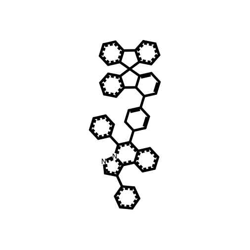 C1=CC(C2=CCC(c3c(-c4ccccc4)n4ncc(-c5ccccc5)c4c4ccccc34)C=C2)C2C(=C1)C1(c3ccccc3-c3ccccc31)c1ccccc12